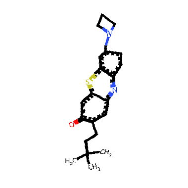 CC(C)(C)CCc1cc2nc3ccc(N4CCC4)cc3sc-2cc1=O